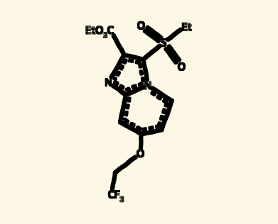 CCOC(=O)c1nc2cc(OCC(F)(F)F)ccn2c1S(=O)(=O)CC